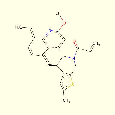 C=CC(=O)N1Cc2sc(C)cc2[C@@H](/C=C(/C=C\C=C/C)c2ccc(OCC)nc2)C1